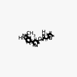 Cc1n[nH]c2ccc(-c3cncc(OC[C@@H](N)Cc4ccco4)c3)cc12